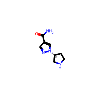 NC(=O)c1cnn([C@@H]2CCNC2)c1